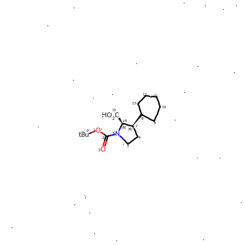 CC(C)(C)OC(=O)N1CC[C@H](C2CCCCC2)[C@@H]1C(=O)O